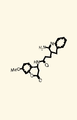 COc1ccc2c(c1)OC(=O)CC2NC(=O)CCC(Cc1ccccc1)C(=N)N